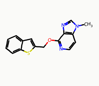 Cn1cnc2c(OCc3cc4ccccc4s3)nccc21